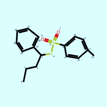 CCCC(SS(=O)(=O)c1ccc(C)cc1)c1ccccc1